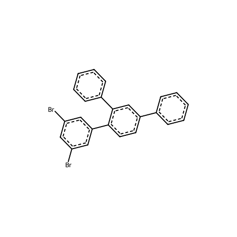 Brc1cc(Br)cc(-c2ccc(-c3ccccc3)cc2-c2ccccc2)c1